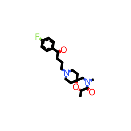 CC1OC2(CCN(CCCC(=O)c3ccc(F)cc3)CC2)CN(C)C1=O